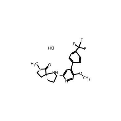 COc1cnc([C@@H]2CC[C@@]3(CCN(C)C3=O)N2)cc1-c1ccc(C(F)(F)F)cc1.Cl